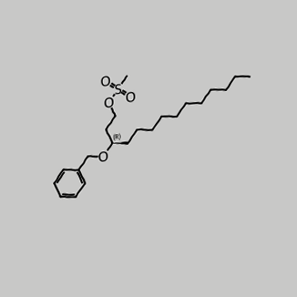 CCCCCCCCCCC[C@H](CCOS(C)(=O)=O)OCc1ccccc1